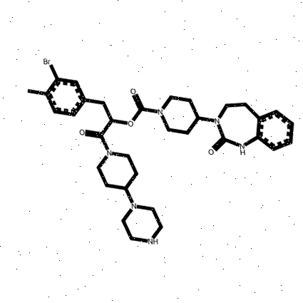 Cc1ccc(CC(OC(=O)N2CCC(N3CCc4ccccc4NC3=O)CC2)C(=O)N2CCC(N3CCNCC3)CC2)cc1Br